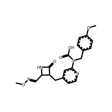 CON=CC1NC(=O)C1Cc1ccnc(N(Cc2ccc(OC)cc2)C(=O)O)c1